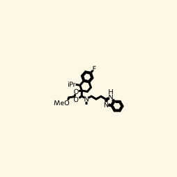 COCC(=O)OC1(C(C)N(C)CCCc2nc3ccccc3[nH]2)CCc2cc(F)ccc2C1C(C)C